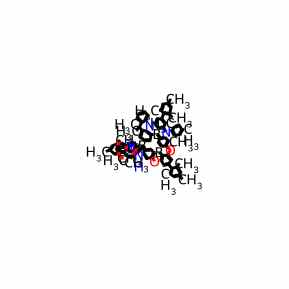 Cc1cc(C)c(-c2cc3c4c(c2)Oc2cc5c(cc2B4c2cc4c(cc2O3)Nc2cc(-c3c(C)cc(C)cc3C)cc3c2B4c2cccc4c2N3c2ccccc2C4(C)C)B2c3cccc4c3N(c3ccccc3C4(C)C)c3cc(-c4c(C)cc(C)cc4C)cc(c32)N5c2c(C)cc(C)cc2C)c(C)c1